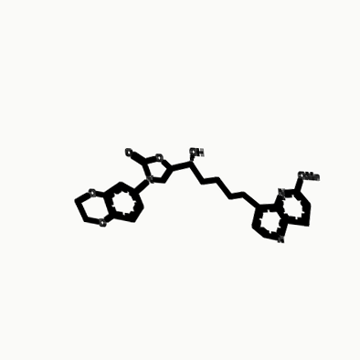 COc1ccc2nccc(CCCC[C@@H](O)C3CN(c4ccc5c(c4)OCCO5)C(=O)O3)c2n1